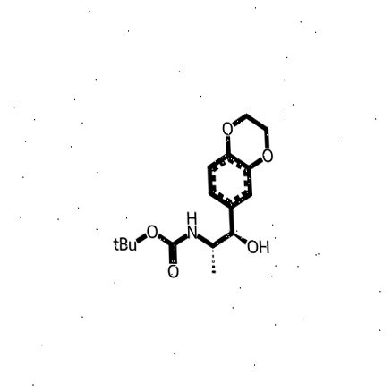 C[C@H](NC(=O)OC(C)(C)C)[C@H](O)c1ccc2c(c1)OCCO2